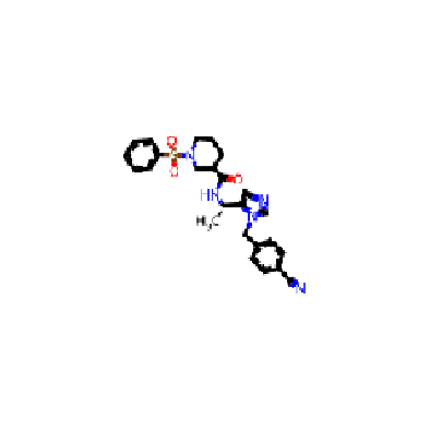 C[C@H](NC(=O)C1CCCN(S(=O)(=O)c2ccccc2)C1)c1cncn1Cc1ccc(C#N)cc1